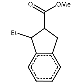 CCC1c2ccccc2CC1C(=O)OC